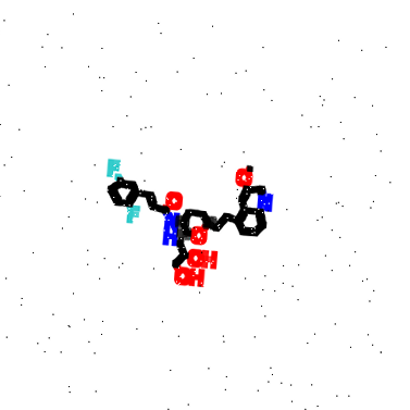 COc1cnc2cccc(CC[C@@H]3CC[C@@H](NC(=O)C=Cc4cc(F)ccc4F)[C@@H](CC(O)CO)O3)c2c1